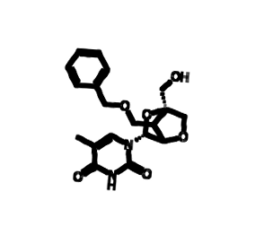 Cc1cn([C@@H]2O[C@@]3(CO)COC2C3COCc2ccccc2)c(=O)[nH]c1=O